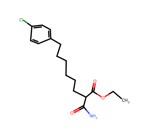 CCOC(=O)C(CCCCCCc1ccc(Cl)cc1)C(N)=O